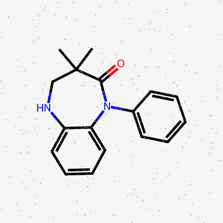 CC1(C)CNc2ccccc2N(c2ccccc2)C1=O